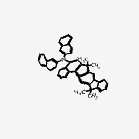 CC1(C)c2ccccc2-c2cc3c(cc21)-c1c(cc(N(c2ccc4ccccc4c2)c2ccc4ccccc4c2)c2ccccc12)C3(C)C